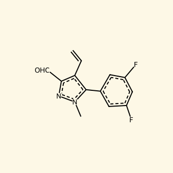 C=Cc1c(C=O)nn(C)c1-c1cc(F)cc(F)c1